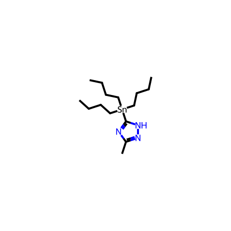 CCC[CH2][Sn]([CH2]CCC)([CH2]CCC)[c]1nc(C)n[nH]1